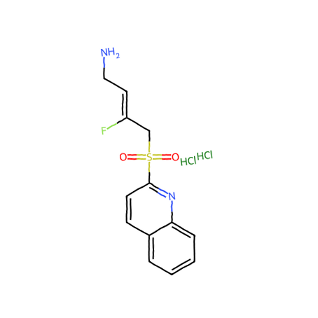 Cl.Cl.NC/C=C(\F)CS(=O)(=O)c1ccc2ccccc2n1